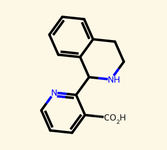 O=C(O)c1cccnc1C1NCCc2ccccc21